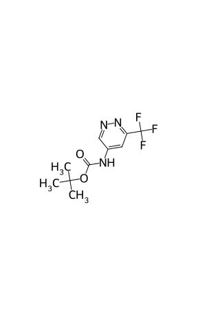 CC(C)(C)OC(=O)Nc1cnnc(C(F)(F)F)c1